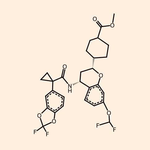 COC(=O)C1CCC([C@H]2C[C@@H](NC(=O)C3(c4ccc5c(c4)OC(F)(F)O5)CC3)c3ccc(OC(F)F)cc3O2)CC1